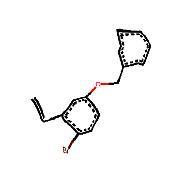 C=Cc1cc(OCc2ccccc2)ccc1Br